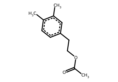 CC(=O)OCCc1ccc(C)c(C)c1